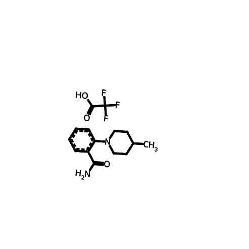 CC1CCN(c2ccccc2C(N)=O)CC1.O=C(O)C(F)(F)F